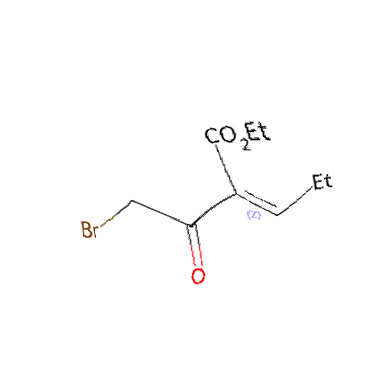 CC/C=C(/C(=O)CBr)C(=O)OCC